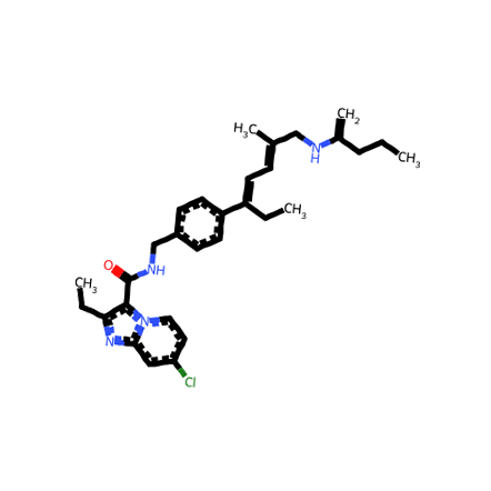 C=C(CCC)NC/C(C)=C/C=C(\CC)c1ccc(CNC(=O)c2c(CC)nc3cc(Cl)ccn23)cc1